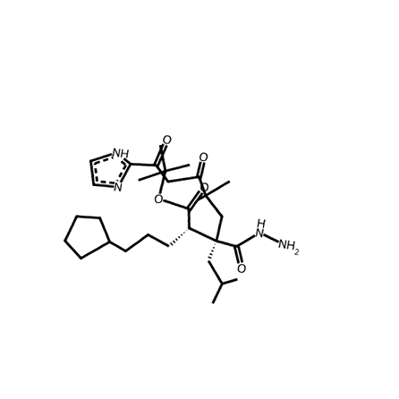 CC(C)C[C@](CC(C)(C)C(=O)CC(=O)c1ncc[nH]1)(C(=O)NN)[C@H](CCCC1CCCC1)C(=O)OC(C)(C)C